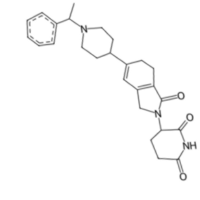 CC(c1ccccc1)N1CCC(C2=CC3=C(CC2)C(=O)N(C2CCC(=O)NC2=O)C3)CC1